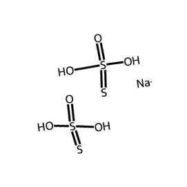 O=S(O)(O)=S.O=S(O)(O)=S.[Na]